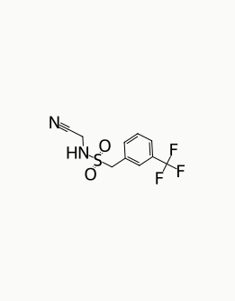 N#CCNS(=O)(=O)Cc1cccc(C(F)(F)F)c1